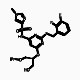 CC(C)OC[C@H](CO)Oc1cc(NS(=O)(=O)c2cn(C)cn2)nc(SCc2cccc(F)c2F)n1